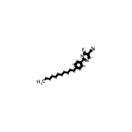 CCCCCCCCCCCc1ccc(-c2ncc(C#N)c(F)n2)cc1